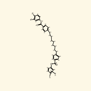 O=C(Oc1ccc(F)c(F)c1)c1ccc(CCCCCCCCCc2ccc(C(=O)Oc3ccc(F)c(F)c3)cc2)cc1